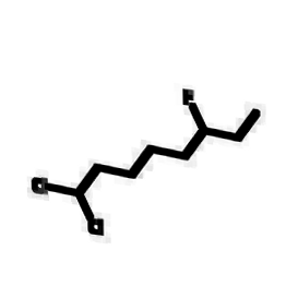 CCC(F)CCCCC(Cl)Cl